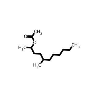 CCCCCCC(C)CCC(C)OC(C)=O